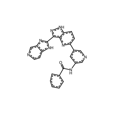 O=C(Nc1cncc(-c2ccc3[nH]nc(-c4nc5cnccc5[nH]4)c3n2)c1)c1ccccc1